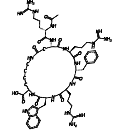 CC(=O)N[C@@H](CCCNC(=N)N)C(=O)N[C@H]1CC(=O)NCCCCC(C(=O)O)NC(=O)[C@H](Cc2c[nH]c3ccccc23)NC(=O)[C@H](CCCNC(=N)N)NC(=O)[C@@H](Cc2ccccc2)NC(=O)[C@H](CCCNC(=N)N)NC1=O